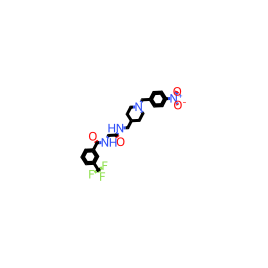 O=C(CNC(=O)c1cccc(C(F)(F)F)c1)NCC1CCN(Cc2ccc([N+](=O)[O-])cc2)CC1